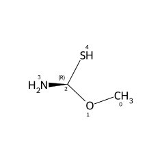 CO[C@@H](N)S